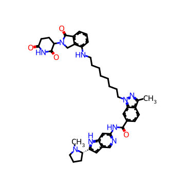 Cc1nn(CCCCCCCCNc2cccc3c2CN(C2CCC(=O)NC2=O)C3=O)c2cc(C(=O)Nc3cc4[nH]c([C@@H]5CCCN5C)cc4cn3)ccc12